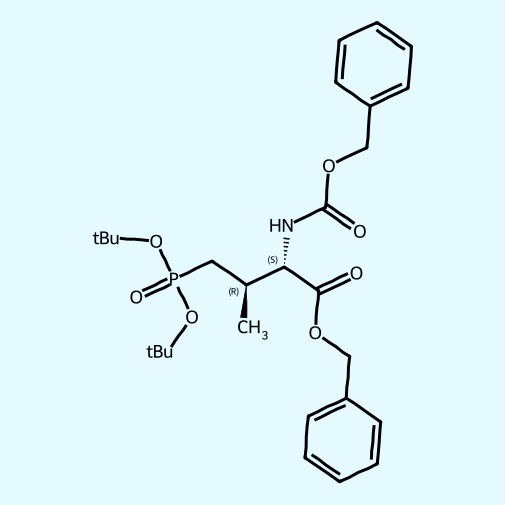 C[C@@H](CP(=O)(OC(C)(C)C)OC(C)(C)C)[C@H](NC(=O)OCc1ccccc1)C(=O)OCc1ccccc1